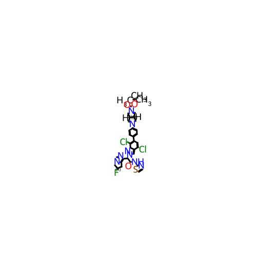 CC(C)(C)OC(=O)N1C[C@@H]2CN(c3ccc(-c4cc(Cl)c5cn(C(C(=O)Nc6nccs6)c6ncn7c6C[C@@H](F)C7)nc5c4Cl)cc3)C[C@@H]2C1